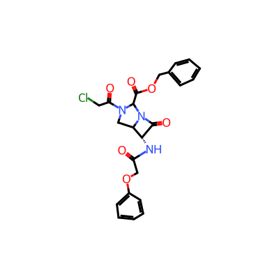 O=C(COc1ccccc1)N[C@H]1C(=O)N2C1CN(C(=O)CCl)C2C(=O)OCc1ccccc1